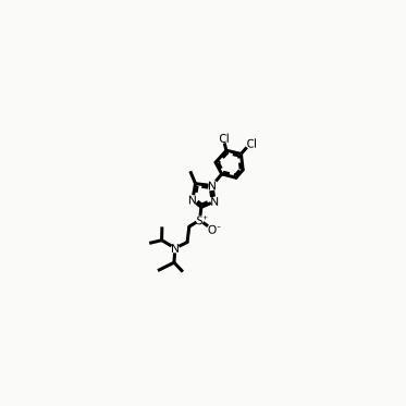 Cc1nc([S+]([O-])CCN(C(C)C)C(C)C)nn1-c1ccc(Cl)c(Cl)c1